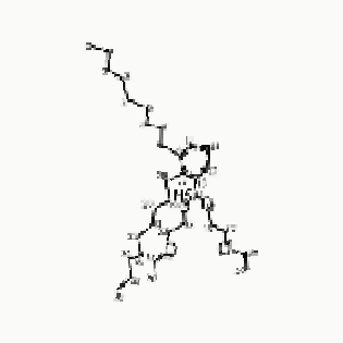 CCCCCCCCCc1cccc([SiH](OCCOCC)OCCOCC)c1CCCCCCCCC